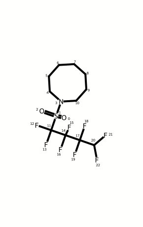 O=S(=O)(N1CCCCCCC1)C(F)(F)C(F)(F)C(F)(F)C(F)F